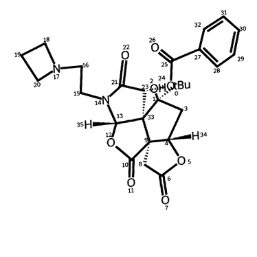 CC(C)(C)[C@]1(O)C[C@@H]2OC(=O)C[C@@]23C(=O)O[C@@H]2N(CCN4CCC4)C(=O)[C@H](OC(=O)c4ccccc4)[C@]213